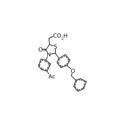 CC(=O)c1cccc(N2C(=O)C(CC(=O)O)SC2c2ccc(OCc3ccccc3)cc2)c1